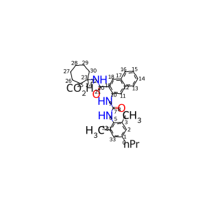 CCCc1cc(C)c(NC(=O)Nc2cc3ccccc3cc2C(=O)NC2(C(=O)O)CCCCCC2)c(C)c1